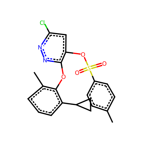 Cc1ccc(S(=O)(=O)Oc2cc(Cl)nnc2Oc2c(C)cccc2C2CC2)cc1